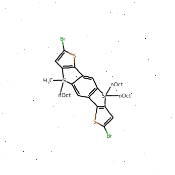 CCCCCCCC[Si]1(C)c2cc3c(cc2-c2sc(Br)cc21)[Si](CCCCCCCC)(CCCCCCCC)c1cc(Br)sc1-3